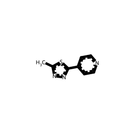 Cc1nnc(-c2ccncc2)s1